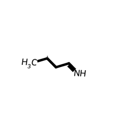 C[CH]CC=N